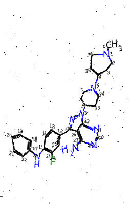 CN1CCC(N2CCC(n3nc(-c4ccc(Nc5ccccc5)c(F)c4)c4c(N)ncnc43)CC2)CC1